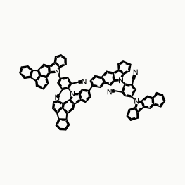 N#Cc1cc(-n2c3ccccc3c3cc4ccccc4cc32)cc(C#N)c1-n1c2ccccc2c2cc3ccc(-c4ccc5c6cc7c8c(cccc8c6n(-c6c(C#N)cc(-n8c9ccccc9c9cc%10c%11c(cccc%11c98)-c8ccccc8-%10)cc6C#N)c5c4)-c4ccccc4-7)cc3cc21